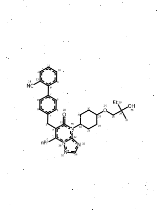 CCCc1c(Cc2ccc(-c3ccccc3C#N)cc2)c(=O)n(C2CCC(OCC(C)(O)CC)CC2)c2ncnn12